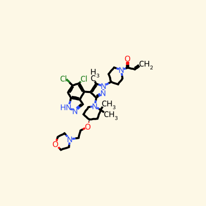 C=CC(=O)N1CCC(n2nc(N3CC[C@@H](OCCN4CCOCC4)CC3(C)C)c(-c3c(Cl)c(Cl)cc4[nH]ncc34)c2C)CC1